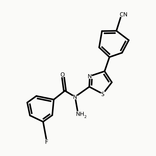 N#Cc1ccc(-c2csc(N(N)C(=O)c3cccc(F)c3)n2)cc1